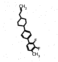 C=CCC1CCC(c2ccc(-c3ccc(C)c(F)c3F)cc2)CC1